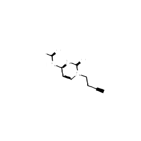 C#CCCn1ccc(NC(=O)O)nc1=O